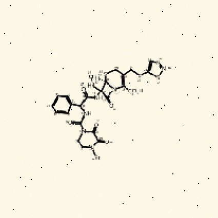 CCN1CCN(C(=O)NC(C(=O)N[C@]2(NO)C(=O)N3C(C(=O)O)=C(CSc4cnns4)CS[C@@H]32)c2ccccc2)C(=O)C1=O